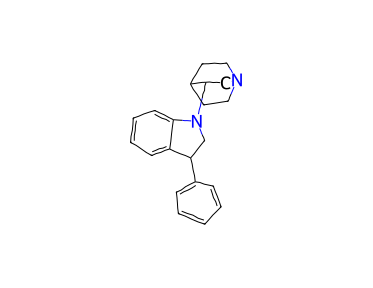 c1ccc(C2CN(C3CN4CCC3CC4)c3ccccc32)cc1